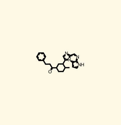 CC1CCC(C(=O)CCc2ccccc2)CC1c1cnc2cnc3[nH]ccc3n12